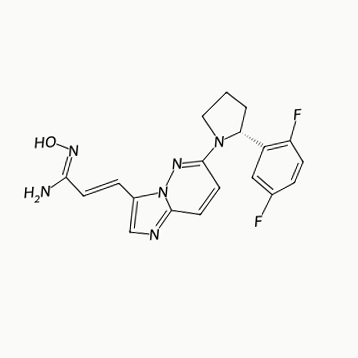 NC(C=Cc1cnc2ccc(N3CCC[C@@H]3c3cc(F)ccc3F)nn12)=NO